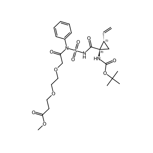 C=C[C@@H]1C[C@]1(NC(=O)OC(C)(C)C)C(=O)NS(=O)(=O)N(C(=O)COCCOCCC(=O)OC)c1ccccc1